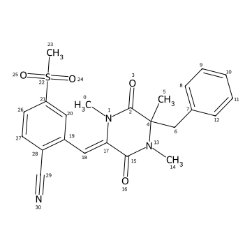 CN1C(=O)C(C)(Cc2ccccc2)N(C)C(=O)/C1=C/c1cc(S(C)(=O)=O)ccc1C#N